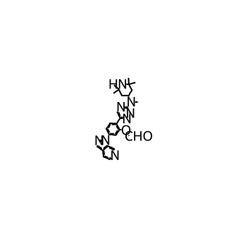 CN(c1ncc(-c2ccc(-n3ncc4ccncc43)cc2OC=O)nn1)C1CC(C)(C)NC(C)(C)C1